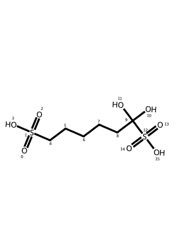 O=S(=O)(O)CCCCCC(O)(O)S(=O)(=O)O